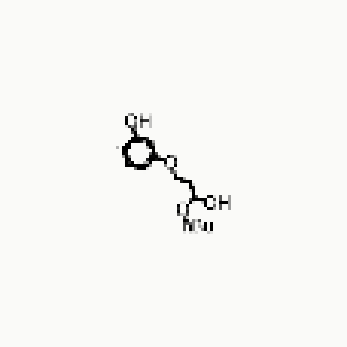 CCCCOC(O)CCOc1cc[c]c(O)c1